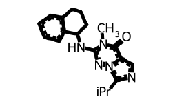 CC(C)c1ncc2c(=O)n(C)c(NC3CCCc4ccccc43)nn12